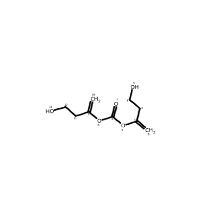 C=C(CCO)OC(=O)OC(=C)CCO